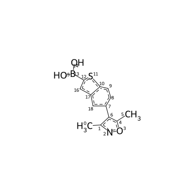 Cc1noc(C)c1-c1ccc2sc(B(O)O)cc2c1